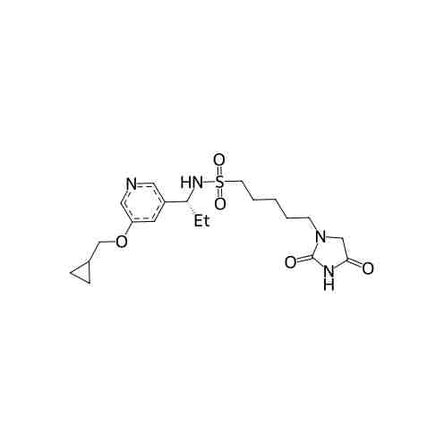 CC[C@@H](NS(=O)(=O)CCCCCN1CC(=O)NC1=O)c1cncc(OCC2CC2)c1